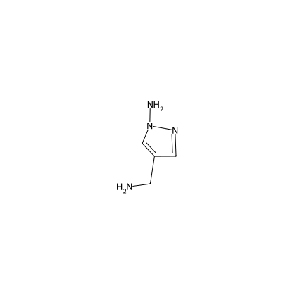 NCc1cnn(N)c1